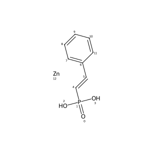 O=P(O)(O)C=Cc1ccccc1.[Zn]